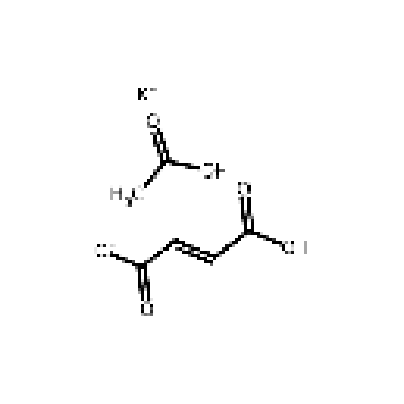 CC(=O)O.O=C([O-])/C=C/C(=O)O.[K+]